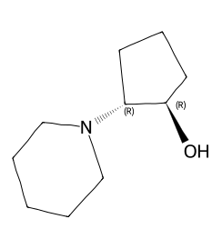 O[C@@H]1CCC[C@H]1N1CCCCC1